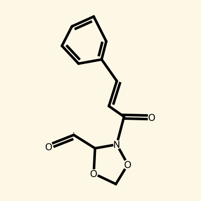 O=[C]C1OCON1C(=O)C=Cc1ccccc1